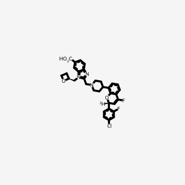 [2H][C@]1(c2ccc(Cl)cc2F)C=C(F)c2cccc(C3CCN(Cc4nc5ccc(C(=O)O)cc5n4C[C@@H]4CCO4)CC3)c2O1